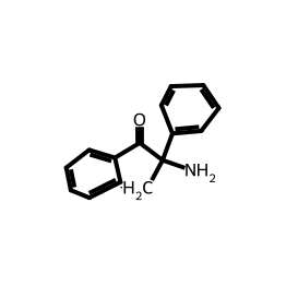 [CH2]C(N)(C(=O)c1ccccc1)c1ccccc1